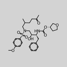 COc1ccc(S(=O)(=O)N(CC(C)CCC(C)=O)C[C@H](O)[C@H](Cc2ccccc2)NC(=O)O[C@H]2CCOC2)cc1